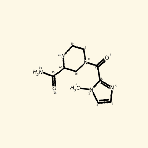 Cn1ccnc1C(=O)N1CC[N]C(C(N)=O)C1